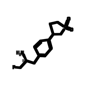 N[C@H](CF)Cc1ccc(C2CCS(=O)(=O)C2)cc1